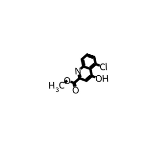 COC(=O)c1cc(O)c2c(Cl)cccc2n1